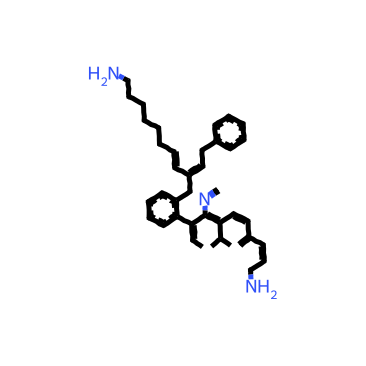 C=NC(/C(=C\C)c1ccccc1CC(=C/Cc1ccccc1)/C=C/CCCCCCN)=C(\C=C/C(=C)/C=C\CN)C(C)C